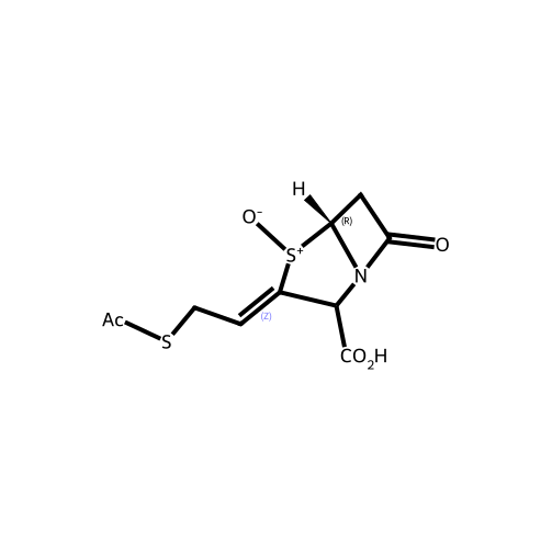 CC(=O)SC/C=C1/C(C(=O)O)N2C(=O)C[C@H]2[S+]1[O-]